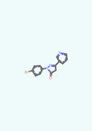 O=C1CC(c2cccnc2)=NN1c1ccc(Br)cc1